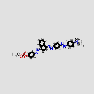 COC(=O)Oc1ccc(N=Nc2ccc(N=Nc3ccc(N=Nc4ccc(N(C)C)cc4)cc3)c3ccccc23)cc1